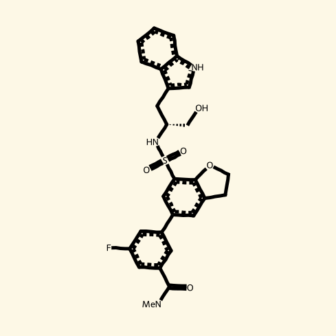 CNC(=O)c1cc(F)cc(-c2cc3c(c(S(=O)(=O)N[C@@H](CO)Cc4c[nH]c5ccccc45)c2)OCC3)c1